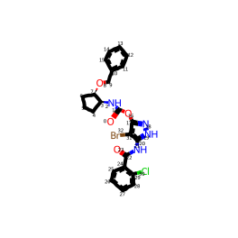 O=C(N[C@H]1CCC[C@@H]1OCc1ccccc1)Oc1n[nH]c(NC(=O)c2ccccc2Cl)c1Br